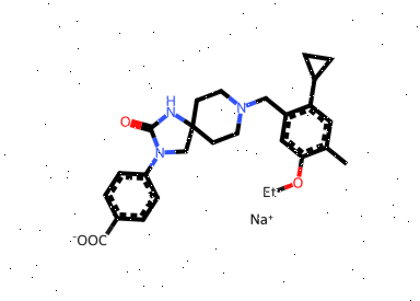 CCOc1cc(CN2CCC3(CC2)CN(c2ccc(C(=O)[O-])cc2)C(=O)N3)c(C2CC2)cc1C.[Na+]